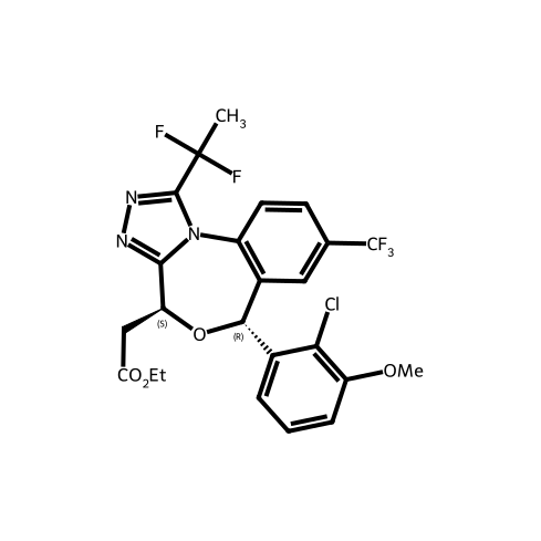 CCOC(=O)C[C@@H]1O[C@@H](c2cccc(OC)c2Cl)c2cc(C(F)(F)F)ccc2-n2c1nnc2C(C)(F)F